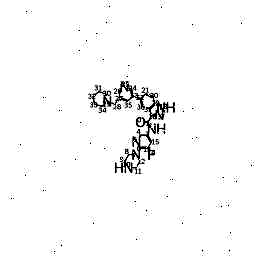 O=C(Nc1cnc(N2CCNCC2)c(F)c1)c1n[nH]c2ccc(-c3cncc(CN4CCCCC4)c3)cc12